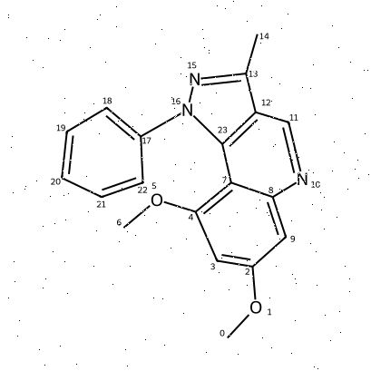 COc1cc(OC)c2c(c1)ncc1c(C)nn(-c3ccccc3)c12